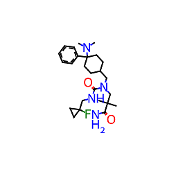 CN(C)C1(c2ccccc2)CCC(CN(CC(C)(C)C(N)=O)C(=O)NCC2(F)CC2)CC1